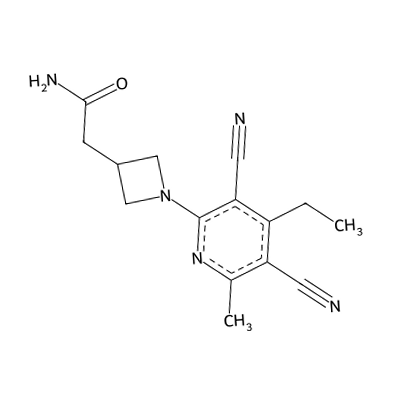 CCc1c(C#N)c(C)nc(N2CC(CC(N)=O)C2)c1C#N